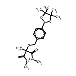 CNC(=O)C(C)(OCc1ccc(B2OC(C)(C)C(C)(C)O2)cc1)C(=O)OC